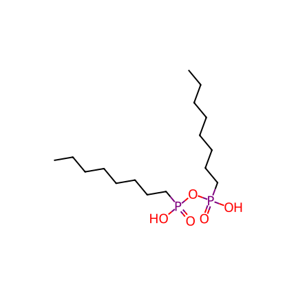 CCCCCCCCP(=O)(O)OP(=O)(O)CCCCCCCC